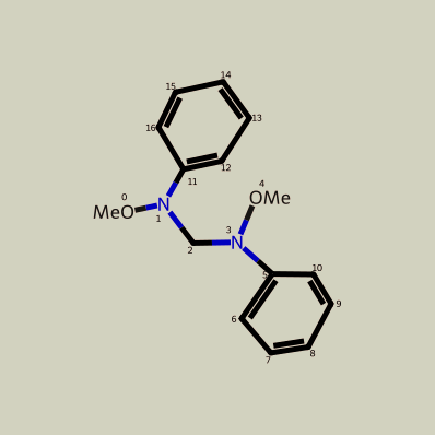 CON(CN(OC)c1ccccc1)c1ccccc1